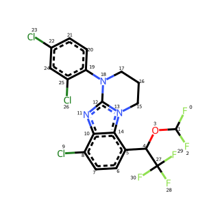 FC(F)OC(c1ccc(Cl)c2nc3n(c12)CCCN3c1ccc(Cl)cc1Cl)C(F)(F)F